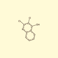 Oc1c(Cl)c(Cl)nc2ccccc12